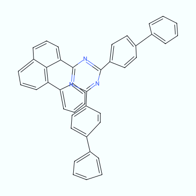 c1ccc(-c2ccc(-c3nc(-c4ccc(-c5ccccc5)cc4)nc(-c4cccc5cccc(-c6ccccc6)c45)n3)cc2)cc1